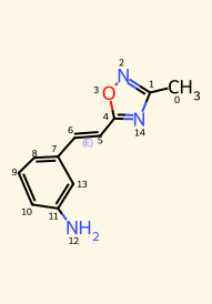 Cc1noc(/C=C/c2cccc(N)c2)n1